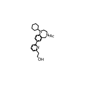 CC(=O)N1CCN(C2CCCCC2)c2ccc(-c3cccc(CCO)n3)cc2C1